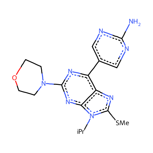 CSc1nc2c(-c3cnc(N)nc3)nc(N3CCOCC3)nc2n1C(C)C